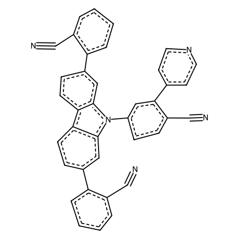 N#Cc1ccccc1-c1ccc2c3ccc(-c4ccccc4C#N)cc3n(-c3ccc(C#N)c(-c4ccncc4)c3)c2c1